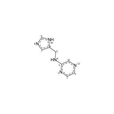 c1cnc(NCc2cnc[nH]2)cn1